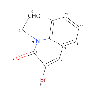 O=CCn1c(=O)c(Br)cc2ccccc21